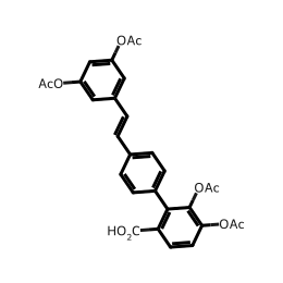 CC(=O)Oc1cc(C=Cc2ccc(-c3c(C(=O)O)ccc(OC(C)=O)c3OC(C)=O)cc2)cc(OC(C)=O)c1